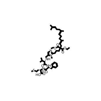 CCOC(=O)C(C/C=C(\C)CC/C=C(\C)CCC=C(C)C)(CCCc1ncc(CN[C@H](C(=O)N[C@@H](Cc2ccccc2)C(=O)N[C@@H](CCSC)C(=O)O)C(C)C)n1C)C(=O)OCC